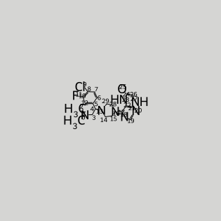 CN(C)CC(c1ccc(Cl)c(F)c1)N1CCN(c2ncnc3c2NC(=O)CN3)CC1